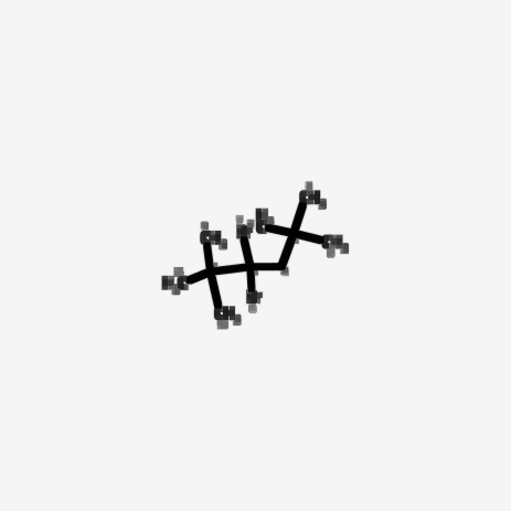 CC(C)(C)CC(Br)(Br)C(C)(C)C